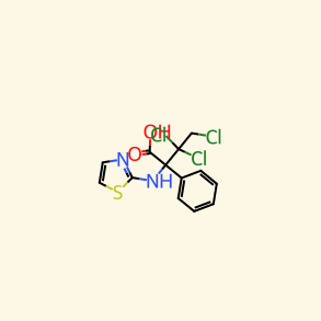 O=C(O)C(Nc1nccs1)(c1ccccc1)C(Cl)(Cl)CCl